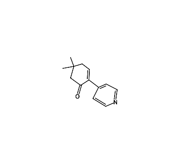 CC1(C)CC=C(c2ccncc2)C(=O)C1